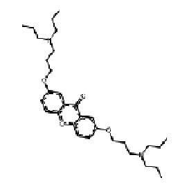 CCCN(CCC)CCCOc1ccc2oc3ccc(OCCCN(CCC)CCC)cc3c(=O)c2c1